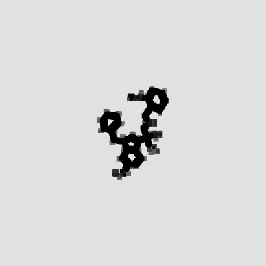 COc1ccccc1CNCC(O)(c1cn(Cc2ccccc2)c2cc([N+](=O)[O-])ccc12)C(F)(F)F